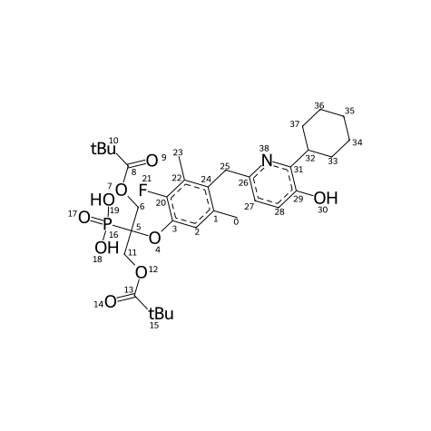 Cc1cc(OC(COC(=O)C(C)(C)C)(COC(=O)C(C)(C)C)P(=O)(O)O)c(F)c(C)c1Cc1ccc(O)c(C2CCCCC2)n1